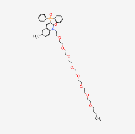 C=CCCOCCOCCOCCOCCOCCOCCOCCOCCn1c(=O)c(P(=O)(c2ccccc2)c2ccccc2)cc2cc(C)ccc21